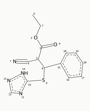 CCOC(=O)C(C#N)C(Sc1n[c]n[nH]1)c1ccccc1